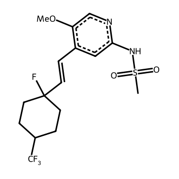 COc1cnc(NS(C)(=O)=O)cc1/C=C/C1(F)CCC(C(F)(F)F)CC1